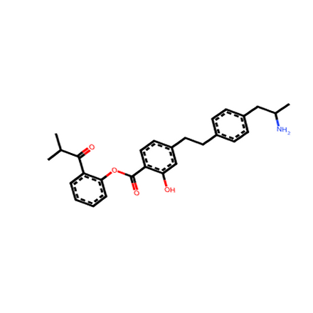 CC(N)Cc1ccc(CCc2ccc(C(=O)Oc3ccccc3C(=O)C(C)C)c(O)c2)cc1